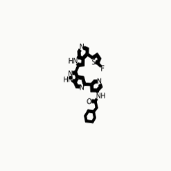 O=C(CC1CCCCC1)Nc1cncc(-c2cc3c(-c4cc5c(-c6ccc(F)s6)cncc5[nH]4)n[nH]c3cn2)c1